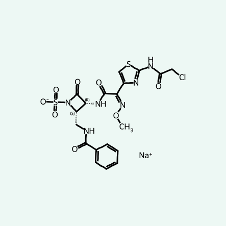 CON=C(C(=O)N[C@H]1C(=O)N(S(=O)(=O)[O-])[C@H]1CNC(=O)c1ccccc1)c1csc(NC(=O)CCl)n1.[Na+]